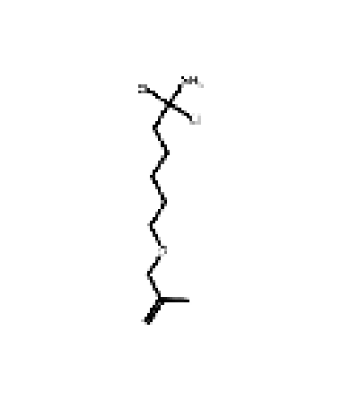 C=C(C)COCCCCCC([SiH3])(Cl)Cl